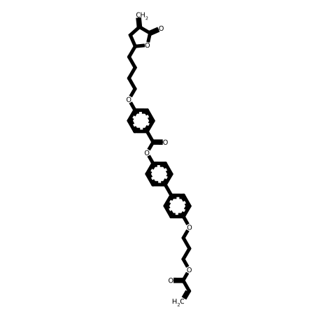 C=CC(=O)OCCCOc1ccc(-c2ccc(OC(=O)c3ccc(OCCCCC4CC(=C)C(=O)O4)cc3)cc2)cc1